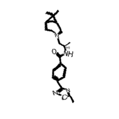 Cc1nc(-c2ccc(C(=O)N[C@H](C)CN3CC4C(C3)C4(C)C)cc2)no1